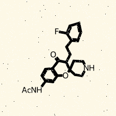 CC(=O)Nc1ccc2c(c1)OC1(CCNCC1)C(CCc1ccccc1F)C2=O